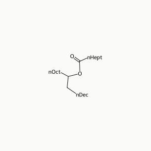 CCCCCCCCCCCC(CCCCCCCC)OC(=O)CCCCCCC